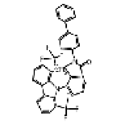 Cc1cccc2c3cccc(C(F)(F)F)c3n(-c3cccc4c3C(OC(F)(F)F)N(c3ccc(-c5ccccc5)cc3)C4=O)c12